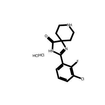 Cl.Cl.O=C1NC(c2cccc(Cl)c2F)=NC12CCNCC2